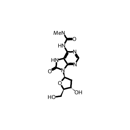 CNC(=O)Nc1ncnc2c1[nH]c(=O)n2[C@H]1C[C@H](O)[C@@H](CO)O1